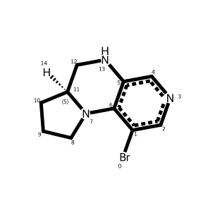 Brc1cncc2c1N1CCC[C@H]1CN2